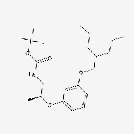 CCCC(CCC)COc1cccc(O[C@@H](C)CNC(=O)OC(C)(C)C)c1